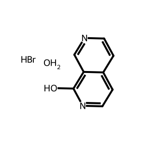 Br.O.Oc1nccc2ccncc12